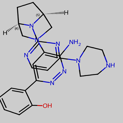 Nc1nnc(-c2ccccc2O)cc1N1C[C@H]2CC[C@@H](C1)N2c1nccc(N2CCNCC2)n1